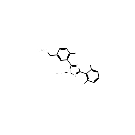 CCCCCCCCCCCc1ccc(F)c(-c2nc(-c3c(F)cccc3F)nn2C)c1